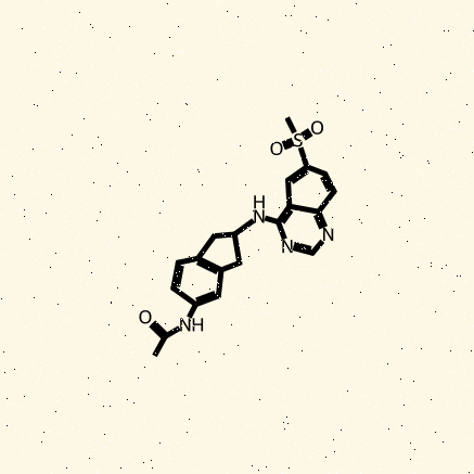 CC(=O)Nc1ccc2c(c1)CC(Nc1ncnc3ccc(S(C)(=O)=O)cc13)C2